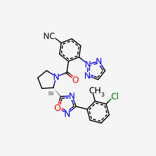 Cc1c(Cl)cccc1-c1noc([C@@H]2CCCN2C(=O)c2cc(C#N)ccc2-n2nccn2)n1